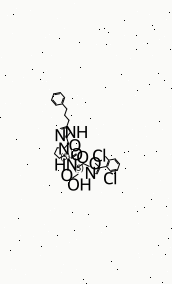 O=C(O)C[C@H](NC(=O)[C@@H]1CCCN1C(=O)c1ncc(CCCc2ccccc2)[nH]1)C(=O)c1ncc(-c2c(Cl)cccc2Cl)o1